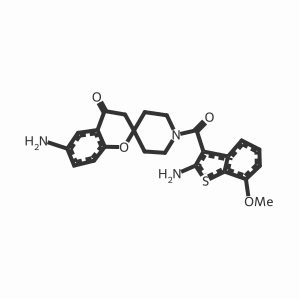 COc1cccc2c(C(=O)N3CCC4(CC3)CC(=O)c3cc(N)ccc3O4)c(N)sc12